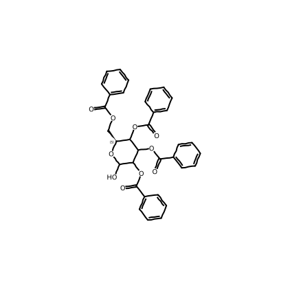 O=C(OC[C@@H]1OC(O)C(OC(=O)c2ccccc2)C(OC(=O)c2ccccc2)C1OC(=O)c1ccccc1)c1ccccc1